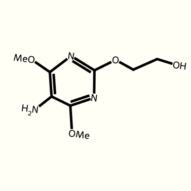 COc1nc(OCCO)nc(OC)c1N